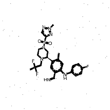 Cc1cc(Nc2ccc(F)cc2)c(C=N)cc1[C@@H]1CN(S(=O)(=O)c2cnn(C)n2)CCN1CC(C)(F)F